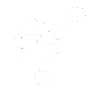 C[C@H]1CC[C@@](O)(CC(=O)CBr)[C@H]2CN1C(=O)c1c(OCc3ccccc3)c(=O)c(C(=O)NCc3c(F)cc(F)cc3F)cn12